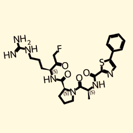 C[C@H](NC(=O)c1ncc(-c2ccccc2)s1)C(=O)N1CCC[C@H]1C(=O)N[C@@H](CCCNC(=N)N)C(=O)CF